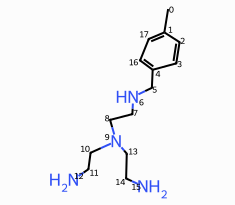 Cc1ccc(CNCCN(CCN)CCN)cc1